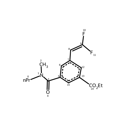 CCCN(C)C(=O)c1cc(C=C(F)F)cc(C(=O)OCC)c1